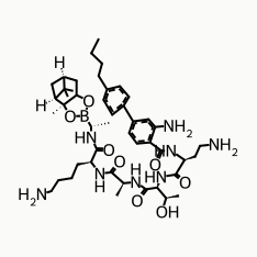 CCCCc1ccc(-c2ccc(C(=O)N[C@@H](CCN)C(=O)N[C@H](C(=O)N[C@@H](C)C(=O)N[C@@H](CCCCN)C(=O)N[C@@H](C)B3OC4C[C@@H]5C[C@@H](C5(C)C)[C@]4(C)O3)[C@@H](C)O)c(N)c2)cc1